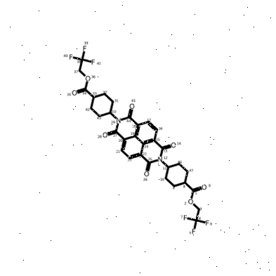 O=C(OCC(F)(F)F)C1CCC(N2C(=O)c3ccc4c5c(ccc(c35)C2=O)C(=O)N(C2CCC(C(=O)OCC(F)(F)F)CC2)C4=O)CC1